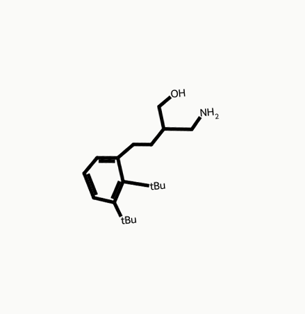 CC(C)(C)c1cccc(CCC(CN)CO)c1C(C)(C)C